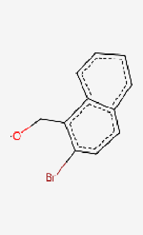 [O]Cc1c(Br)ccc2ccccc12